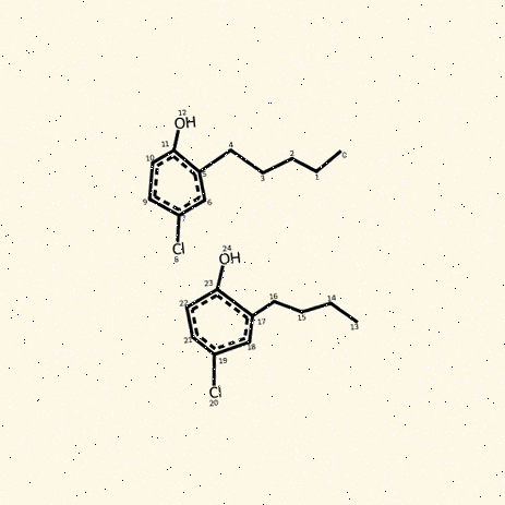 CCCCCc1cc(Cl)ccc1O.CCCCc1cc(Cl)ccc1O